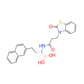 O=C(CCn1c(=O)sc2ccccc21)N[C@@H](CCc1ccc2ccccc2c1)B(O)O